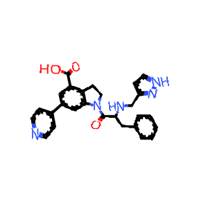 O=C(O)c1cc(-c2ccncc2)cc2c1CCN2C(=O)C(Cc1ccccc1)NCc1cc[nH]n1